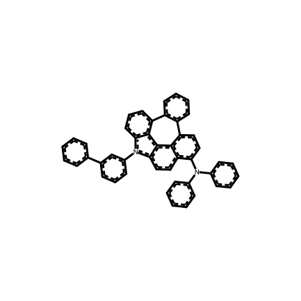 c1ccc(-c2cccc(-n3c4cccc5c4c4c6c(ccc(N(c7ccccc7)c7ccccc7)c6ccc43)-c3ccccc3-5)c2)cc1